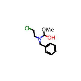 COC(O)N(CCCl)Cc1ccccc1